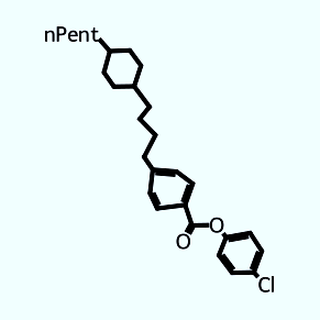 CCCCCC1CCC(CCCCc2ccc(C(=O)Oc3ccc(Cl)cc3)cc2)CC1